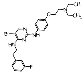 CCN(CC)CCOc1ccc(Nc2ncc(Br)c(NCCc3cccc(F)c3)n2)cc1